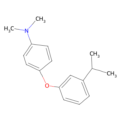 CC(C)c1cccc(Oc2ccc(N(C)C)cc2)c1